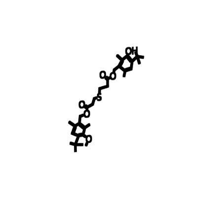 COc1c(C(C)(C)C)cc(C)c(COC(=O)CCSCCC(=O)OCc2c(C)cc(C(C)(C)C)c(O)c2C)c1C